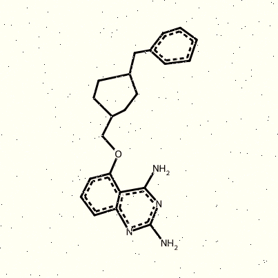 Nc1nc(N)c2c(OCC3CCC(Cc4ccccc4)CC3)cccc2n1